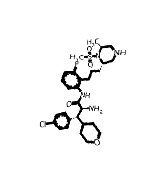 C[C@@H]1CNC[C@H](CCCc2c(F)cccc2NC(=O)[C@@H](N)[C@@H](c2ccc(Cl)cc2)C2CCOCC2)N1S(C)(=O)=O